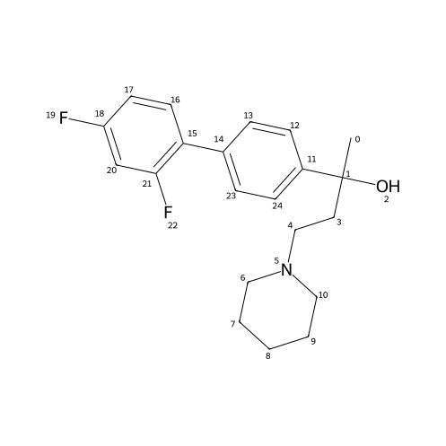 CC(O)(CCN1CCCCC1)c1ccc(-c2ccc(F)cc2F)cc1